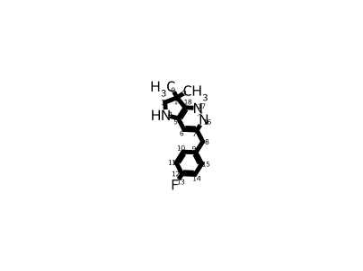 CC1(C)CNc2cc(Cc3ccc(F)cc3)nnc21